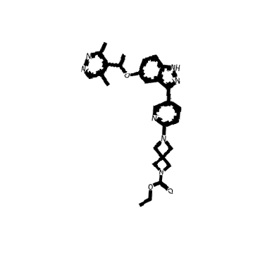 CCOC(=O)N1CC2(C1)CN(c1ccc(-c3n[nH]c4ccc(OC(C)c5c(C)cnnc5C)cc34)cn1)C2